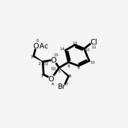 CC(=O)OC[C@@H]1CO[C@@](CBr)(c2ccc(Cl)cc2)O1